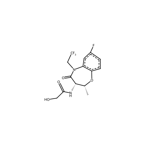 C[C@H]1Oc2ccc(F)cc2N(CC(F)(F)F)C(=O)[C@H]1NC(=O)CO